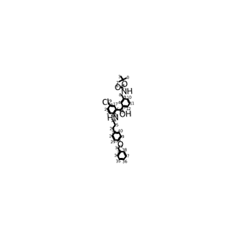 CC(C)(C)OC(=O)NCc1cccc(C(O)c2cc(Cl)ccc2NCCCc2ccc(OCc3ccccc3)cc2)c1